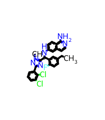 CCc1ccc(F)c(C(Nc2ccc3c(N)nccc3c2)c2nc(-c3cccc(Cl)c3Cl)nn2C)c1